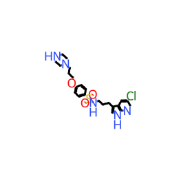 O=S(=O)(NCCCc1c[nH]c2ncc(Cl)cc12)c1ccc(OCCCN2CCNCC2)cc1